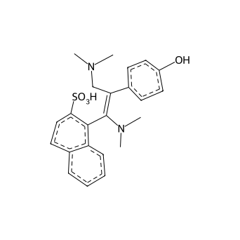 CN(C)CC(=C(c1c(S(=O)(=O)O)ccc2ccccc12)N(C)C)c1ccc(O)cc1